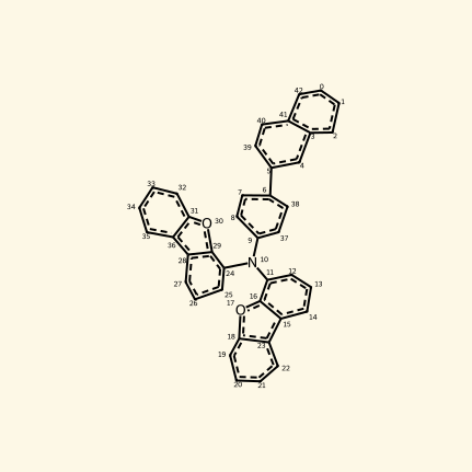 c1ccc2cc(-c3ccc(N(c4cccc5c4oc4ccccc45)c4cccc5c4oc4ccccc45)cc3)ccc2c1